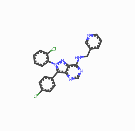 Clc1ccc(-c2c3ncnc(NCc4cccnc4)c3nn2-c2ccccc2Cl)cc1